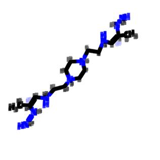 C/C(=C/NCCN1CCN(CCN/C=C(/C)N=N)CC1)N=N